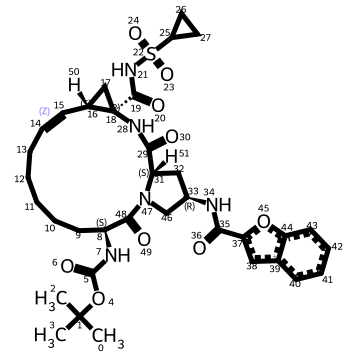 CC(C)(C)OC(=O)N[C@H]1CCCCC/C=C\[C@@H]2C[C@@]2(C(=O)NS(=O)(=O)C2CC2)NC(=O)[C@@H]2C[C@@H](NC(=O)c3cc4ccccc4o3)CN2C1=O